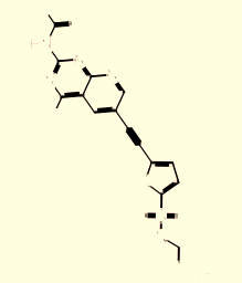 CCOC(=O)CNS(=O)(=O)c1ccc(C#Cc2cnc3nc(NC(=O)C(C)(C)C)nc(O)c3c2)s1